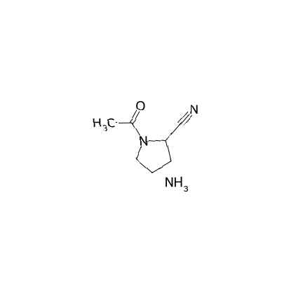 CC(=O)N1CCCC1C#N.N